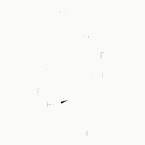 O=C[C@H](OF)[C@@H](OF)[C@H](O)[C@H](O)CO